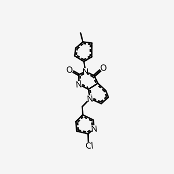 Cc1ccc(-n2c(=O)nc3n(Cc4ccc(Cl)nc4)cccc-3c2=O)cc1